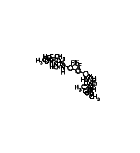 COC(=O)N[C@H](C(=O)N1CCC[C@H]1c1ncc(-c2ccc3c(c2)C(F)(F)C(F)(F)c2cc(C4=Cc5[nH]c([C@@H]6[C@H]7CC[C@H](C7)N6C(=O)[C@@H](NC(=O)OC)C(C)C)nc5CC4)ccc2-3)[nH]1)C(C)C